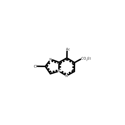 CCOC(=O)c1cnn2cc(Cl)nc2c1C(C)=O